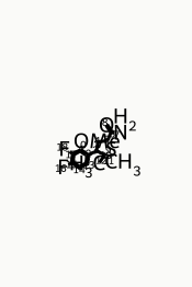 COc1c(C2CC(C(N)=O)SC2(C)C)ccc(F)c1F